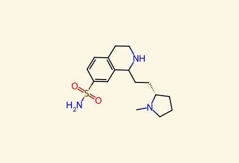 CN1CCC[C@H]1CCC1NCCc2ccc(S(N)(=O)=O)cc21